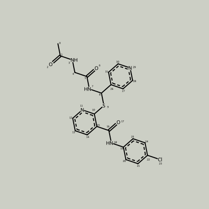 CC(=O)NCC(=O)NC(Sc1ncccc1C(=O)Nc1ccc(Cl)cc1)c1ccncc1